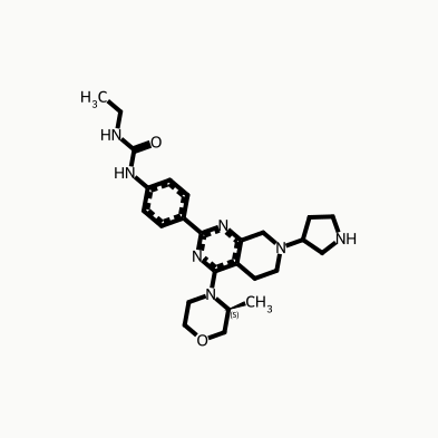 CCNC(=O)Nc1ccc(-c2nc3c(c(N4CCOC[C@@H]4C)n2)CCN(C2CCNC2)C3)cc1